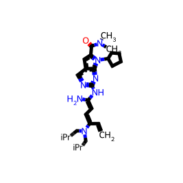 C=C/C(=C\C=C(/N)Nc1ncc2cc(C(=O)N(C)C)n(C3CCCC3)c2n1)N(CC(C)C)CC(C)C